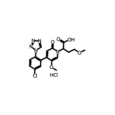 COCCC(C(=O)O)n1cc(OC)c(-c2cc(Cl)ccc2-n2cnnn2)cc1=O.Cl